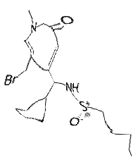 CCCC[S@+]([O-])NC(c1cc(=O)n(C)cc1Br)C1CC1